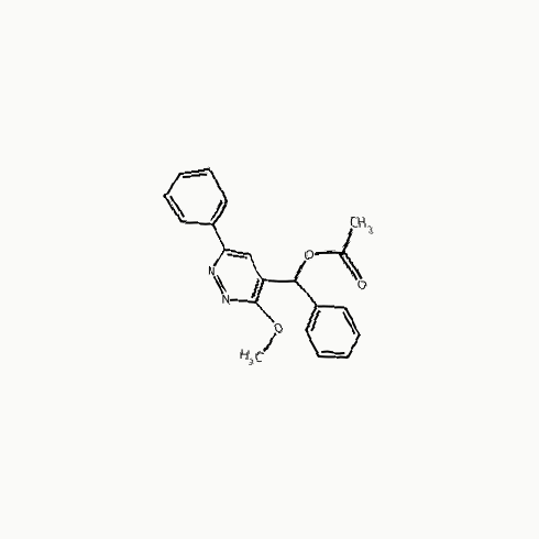 COc1nnc(-c2ccccc2)cc1C(OC(C)=O)c1ccccc1